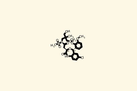 COc1cccc([C@H]2O[C@H](CC(=O)N(CC(C)(CO)CO)S(C)(=O)=O)C(=O)Nc3ccc(Cl)cc32)c1OC